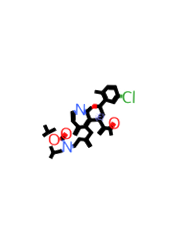 C=C(CCN(CC(C)C)C(=O)OC(C)(C)C)CC1=C(/C(=C\C(C)c2cc(Cl)ccc2C)C(=C)C(C)=O)C(C)=NC=CC1=C